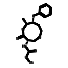 C[C@@H]1OC(=O)[C@@H](NC(=O)OC(C)(C)C)COCC[C@H]1Oc1ccccc1